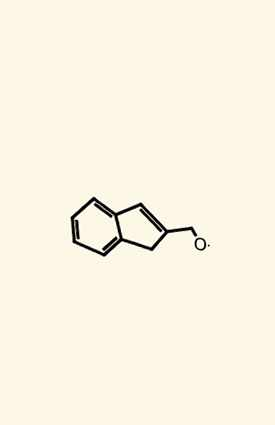 [O]CC1=Cc2ccccc2C1